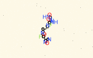 COc1cc(-c2cn(C)c(=O)c3cnccc23)cc(F)c1CN1CCc2c(CC3CCN(c4ccc5c(N6CCC(=O)NC6=O)n[nH]c5c4F)CC3)cccc2C1